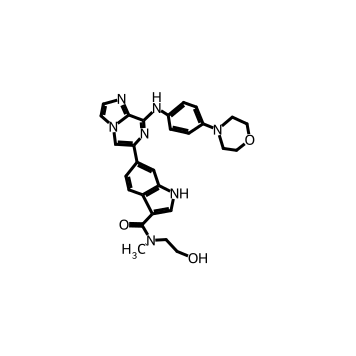 CN(CCO)C(=O)c1c[nH]c2cc(-c3cn4ccnc4c(Nc4ccc(N5CCOCC5)cc4)n3)ccc12